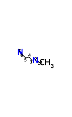 CC=NCCCC#N